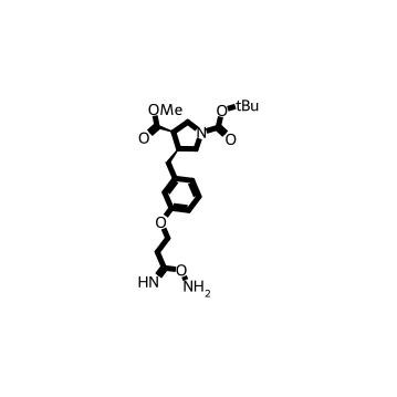 COC(=O)[C@H]1CN(C(=O)OC(C)(C)C)C[C@H]1Cc1cccc(OCCC(=N)ON)c1